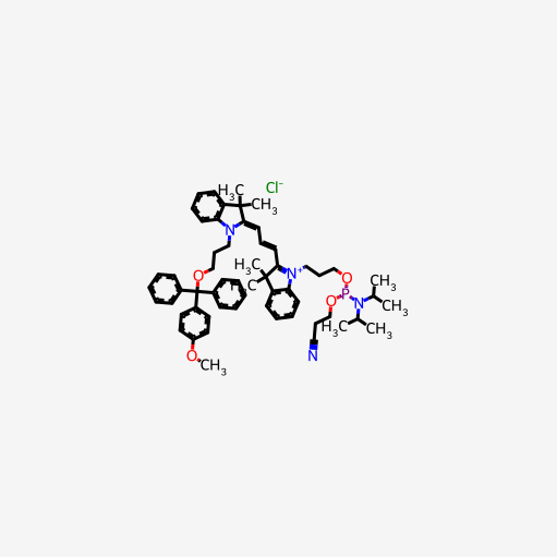 COc1ccc(C(OCCCN2/C(=C\C=C\C3=[N+](CCCOP(OCCC#N)N(C(C)C)C(C)C)c4ccccc4C3(C)C)C(C)(C)c3ccccc32)(c2ccccc2)c2ccccc2)cc1.[Cl-]